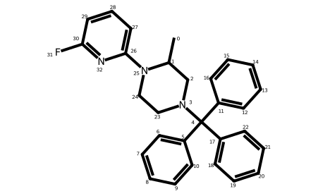 CC1CN(C(c2ccccc2)(c2ccccc2)c2ccccc2)CCN1c1cccc(F)n1